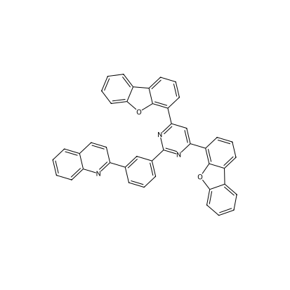 c1cc(-c2ccc3ccccc3n2)cc(-c2nc(-c3cccc4c3oc3ccccc34)cc(-c3cccc4c3oc3ccccc34)n2)c1